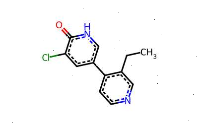 CCc1cnccc1-c1c[nH]c(=O)c(Cl)c1